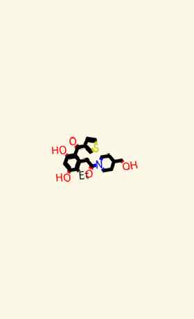 CCc1c(O)cc(O)c(C(=O)c2ccsc2)c1CC(=O)N1CCC(CO)CC1